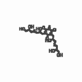 Cn1c(=O)n(CC(O)CSCC(O)CO)c(=O)n(CC(O)CSCC(O)CO)c1=O